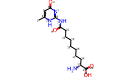 Cc1cc(=O)nc(NC(=O)CCCCCCC[C@H](N)C(=O)O)[nH]1